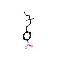 CCCC(C)(C)CCc1ccc([N+](=O)[O-])cc1